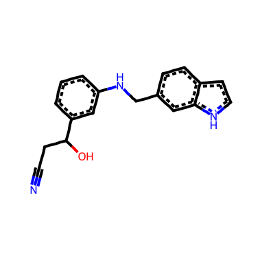 N#CCC(O)c1cccc(NCc2ccc3cc[nH]c3c2)c1